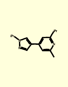 Cc1cc(-c2cnn(C(C)C)c2)cc(C(C)C)n1